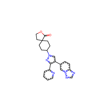 O=C1OCCC12CCC(n1cc(-c3ccc4ncnn4c3)c(-c3ccccn3)n1)CC2